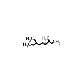 C=CC(CC)C/C=C/C(=C)CC